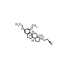 CCOc1cc2c(c(OC)c1)[C@H]1CC[C@]3(C)[C@@H](OCCC#N)CC[C@H]3[C@@H]1CC2